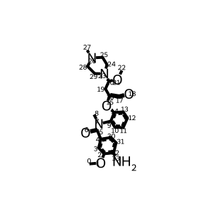 COc1cc(C(=O)N(C)c2ccccc2OC(=C=O)CC(OC)N2CCN(C)CC2)ccc1N